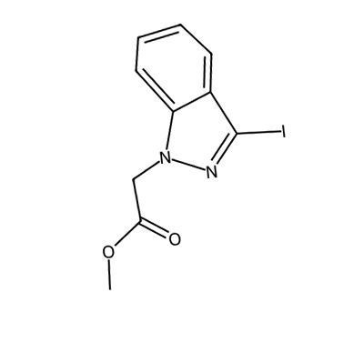 COC(=O)Cn1nc(I)c2ccccc21